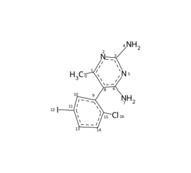 Cc1nc(N)nc(N)c1-c1cc(I)ccc1Cl